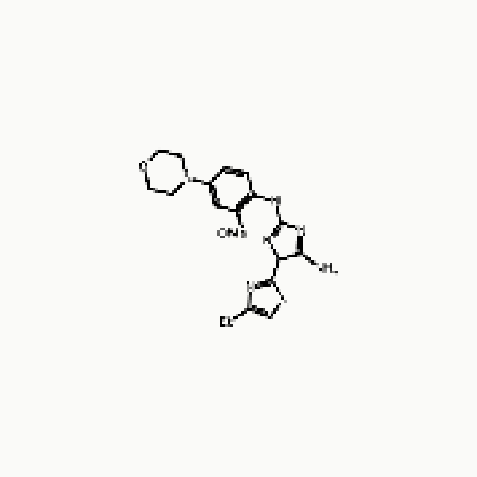 CCc1csc(C2N=C(Nc3ccc(N4CCOCC4)cc3OC)N=C2N)n1